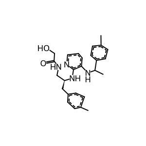 Cc1ccc(C[C@@H](CNC(=O)CO)Nc2ncccc2NC(C)c2ccc(C)cc2)cc1